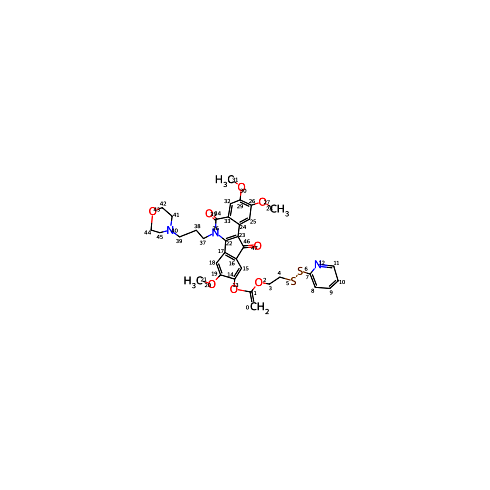 C=C(OCCSSc1ccccn1)Oc1cc2c(cc1OC)-c1c(c3cc(OC)c(OC)cc3c(=O)n1CCCN1CCOCC1)C2=O